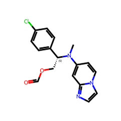 CN(c1ccn2ccnc2c1)[C@H](COC=O)c1ccc(Cl)cc1